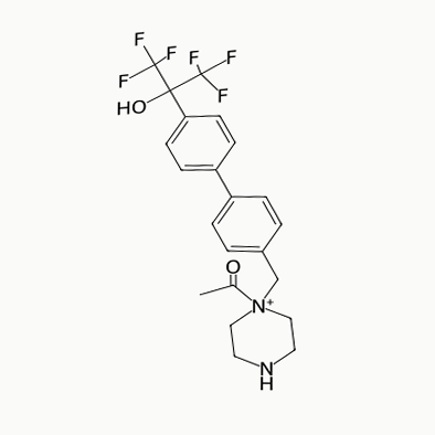 CC(=O)[N+]1(Cc2ccc(-c3ccc(C(O)(C(F)(F)F)C(F)(F)F)cc3)cc2)CCNCC1